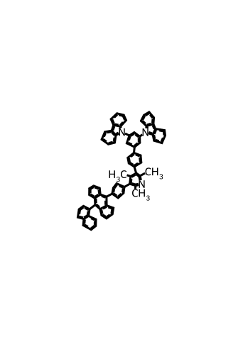 Cc1nc(C)c(-c2ccc(-c3c4ccccc4c(-c4cccc5ccccc45)c4ccccc34)cc2)c(C)c1-c1ccc(-c2cc(-n3c4ccccc4c4ccccc43)cc(-n3c4ccccc4c4ccccc43)c2)cc1